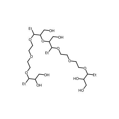 CCC(OCCOCCOC(CC)C(CO)OC(CO)C(CC)OCCOCCOC(CC)C(O)CO)C(O)CO